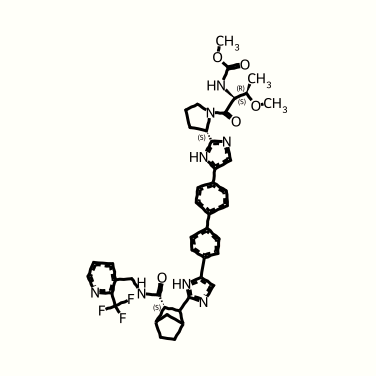 COC(=O)N[C@H](C(=O)N1CCC[C@H]1c1ncc(-c2ccc(-c3ccc(-c4cnc(C5C6CCC(C6)[C@@H]5C(=O)NCc5cccnc5C(F)(F)F)[nH]4)cc3)cc2)[nH]1)[C@@H](C)OC